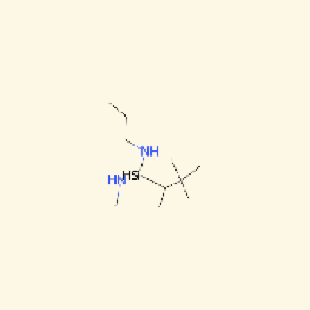 CCCN[SiH](NC)C(C)C(C)(C)C